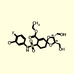 CCOC(=O)C1=CC2(CCC1S(=O)(=O)Nc1ccc(F)c(Cl)c1)O[C@H](CO)[C@@H](CO)O2